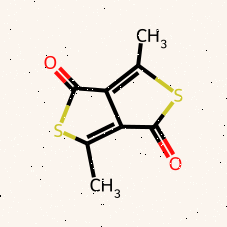 CC1=C2C(=O)SC(C)=C2C(=O)S1